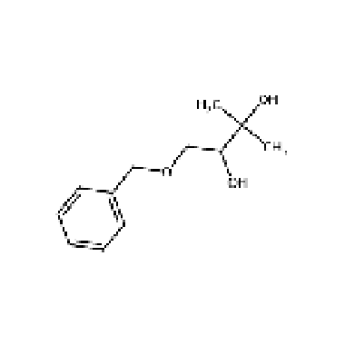 CC(C)(O)C(O)COCc1ccccc1